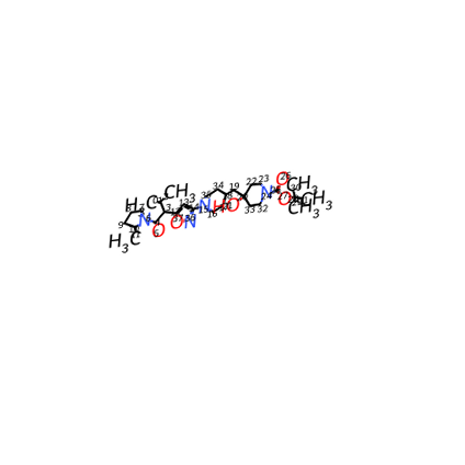 CC(C)C(C(=O)N1CCCC1C)c1cc(N2CCC(CC3(O)CCN(C(=O)OC(C)(C)C)CC3)CC2)no1